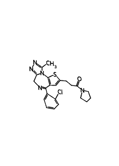 Cc1nnc2n1-c1sc(CCC(=O)N3CCCC3)cc1C(c1ccccc1Cl)=NC2